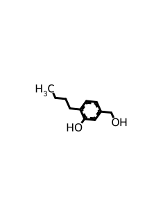 CCCCc1ccc(CO)cc1O